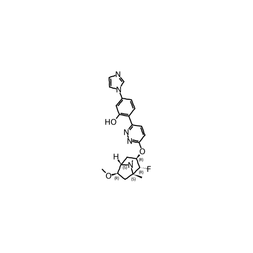 CO[C@@H]1C[C@@]2(C)[C@@H](F)[C@H](Oc3ccc(-c4ccc(-n5ccnc5)cc4O)nn3)C[C@@H]1N2C